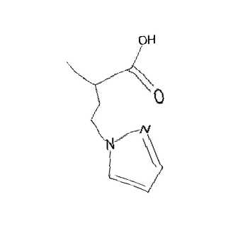 CC(Cn1cccn1)C(=O)O